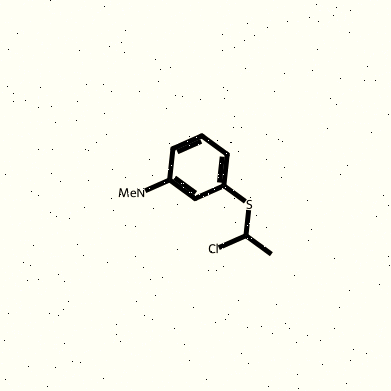 CNc1cccc(SC(C)Cl)c1